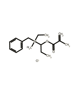 C=C(C)C(=O)OC(CC)[N+](C)(CC)Cc1ccccc1.[Cl-]